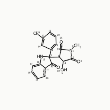 CN1C(=O)C(O)C(C2(c3cccc(Cl)c3)Nc3ccccc3C2=O)C1=O